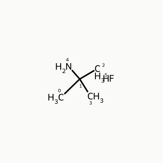 CC(C)(C)N.F